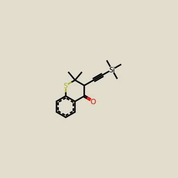 CC1(C)Sc2ccccc2C(=O)C1C#C[Si](C)(C)C